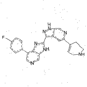 Fc1ccc(-c2cncc3[nH]c(-c4n[nH]c5cnc(C6=CCNCC6)cc45)nc23)cc1